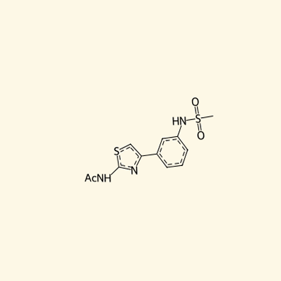 CC(=O)Nc1nc(-c2cccc(NS(C)(=O)=O)c2)cs1